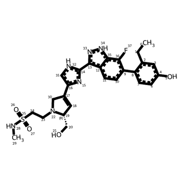 CCc1cc(O)ccc1-c1ccc2c(-c3nc(C4=C[C@H](CO)N(CCS(=O)(=O)NC)C4)c[nH]3)n[nH]c2c1F